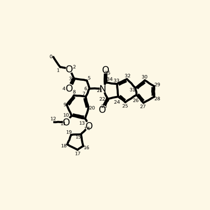 CCOC(=O)CC(c1ccc(OC)c(OC2CCCC2)c1)N1C(=O)c2cc3ccccc3cc2C1=O